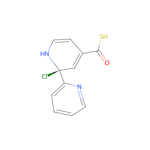 O=C(S)C1=C[C@](Cl)(c2ccccn2)NC=C1